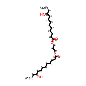 COCC(O)CCCCCCCCC(=O)OCCCOC(=O)CCCCCCCCC(O)COC